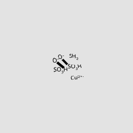 O=S(=O)([O-])O.O=S(=O)([O-])O.S.[Cu+2]